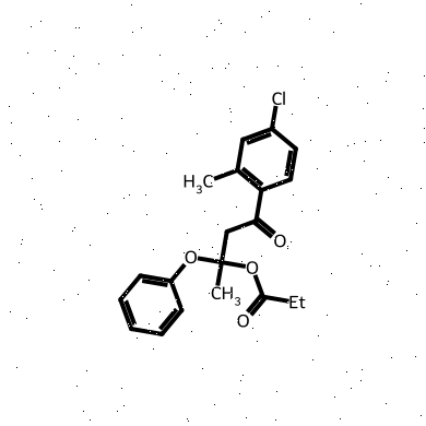 CCC(=O)OC(C)(CC(=O)c1ccc(Cl)cc1C)Oc1ccccc1